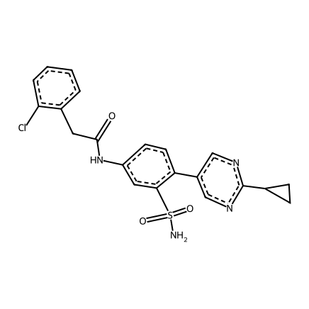 NS(=O)(=O)c1cc(NC(=O)Cc2ccccc2Cl)ccc1-c1cnc(C2CC2)nc1